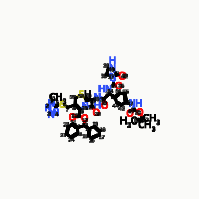 Cn1nnnc1SCC1=C(C(=O)OC(c2ccccc2)c2ccccc2)N2C(=O)[C@@H](NC(=O)[C@H](NC(=O)N3CCNC3=O)c3ccc(NC(=O)OC(C)(C)C)cc3)[C@@H]2SC1